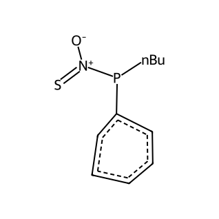 CCCCP(c1ccccc1)[N+]([O-])=S